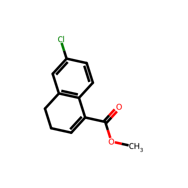 COC(=O)C1=CCCc2cc(Cl)ccc21